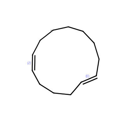 [CH]1C/C=C\CCC/C=C/CCCC1